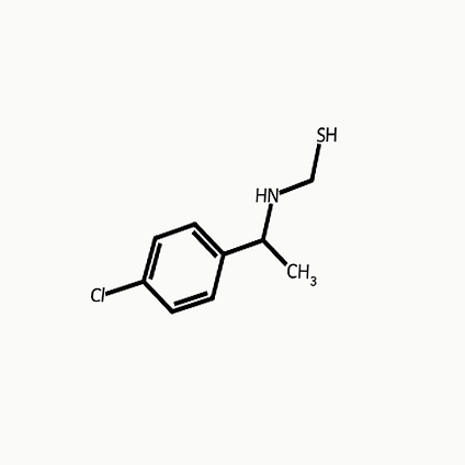 CC(NCS)c1ccc(Cl)cc1